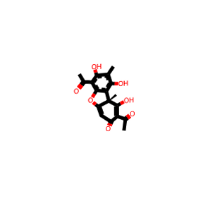 CC(=O)C1=C(O)[C@]2(C)C(=CC1=O)Oc1c(C(C)=O)c(O)c(C)c(O)c12